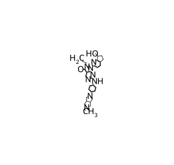 C=CCn1c(=O)c2cnc(Nc3ccc(N4CC5CN(C)CC5C4)cc3)nc2n1-c1ccc2c(n1)C(O)CC2